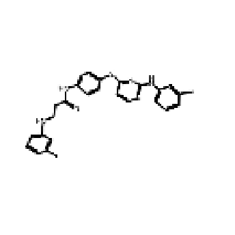 Cc1cccc(NCCC(=O)Nc2ccc(Sc3ccnc(Nc4cccc(C)c4)n3)cc2)c1